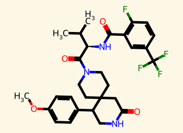 COc1ccc(C2CNC(=O)CC23CCN(C(=O)[C@H](NC(=O)c2cc(C(F)(F)F)ccc2F)C(C)C)CC3)cc1